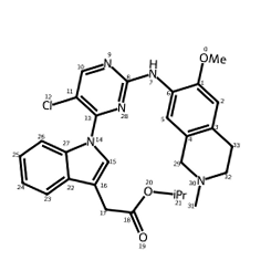 COc1cc2c(cc1Nc1ncc(Cl)c(-n3cc(CC(=O)OC(C)C)c4ccccc43)n1)CN(C)CC2